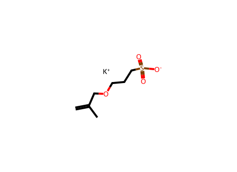 C=C(C)COCCCS(=O)(=O)[O-].[K+]